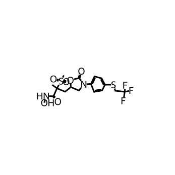 CC(CC1CN(c2ccc(SCC(F)(F)F)cc2)C(=O)O1)(C(=O)NO)S(C)(=O)=O